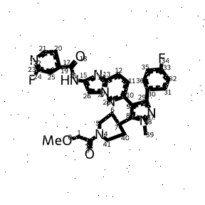 COCC(=O)N1CCC(c2c(-c3ccc4nc(NC(=O)c5ccnc(F)c5)cn4n3)c(-c3ccc(F)cc3)nn2C)CC1